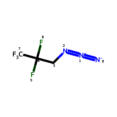 [N-]=[N+]=NCC(F)(F)C(F)(F)F